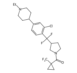 CCN1CCC(c2ccc(C(F)(F)C3CCN(C(=O)C4(C(F)(F)F)CC4)C3)c(Cl)c2)CC1